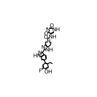 CCc1cc(O)c(F)cc1-c1ccc2c(-c3nc4c([nH]3)CCN(C(=O)Nc3c[nH]c(=O)n(C)c3=O)C4)n[nH]c2c1